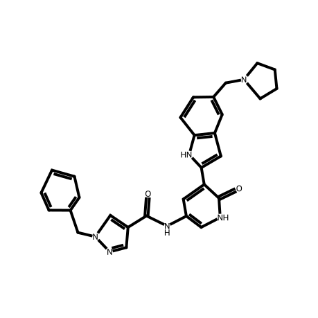 O=C(Nc1c[nH]c(=O)c(-c2cc3cc(CN4CCCC4)ccc3[nH]2)c1)c1cnn(Cc2ccccc2)c1